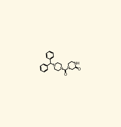 O=C1CN(C(=O)N2CCN(C(c3ccccc3)c3ccccc3)CC2)CCN1